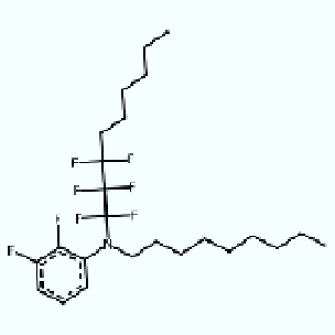 CCCCCCCCCN(c1cccc(F)c1F)C(F)(F)C(F)(F)C(F)(F)CCCCCC